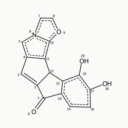 O=C1C2=Cc3cn4ccoc4c3C2c2c1ccc(O)c2O